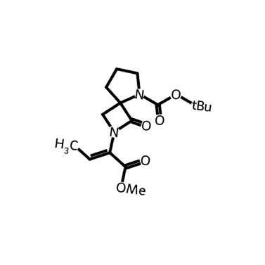 C/C=C(/C(=O)OC)N1CC2(CCCN2C(=O)OC(C)(C)C)C1=O